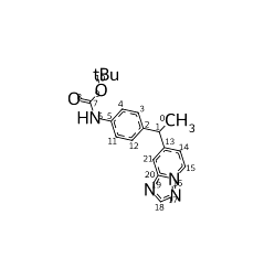 CC(c1ccc(NC(=O)OC(C)(C)C)cc1)c1ccn2ncnc2c1